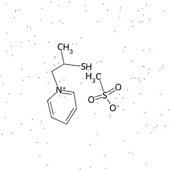 CC(S)C[n+]1ccccc1.CS(=O)(=O)[O-]